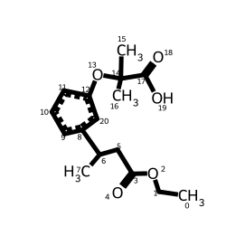 CCOC(=O)CC(C)c1cccc(OC(C)(C)C(=O)O)c1